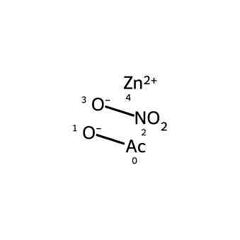 CC(=O)[O-].O=[N+]([O-])[O-].[Zn+2]